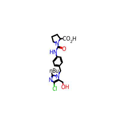 CCCCc1nc(Cl)c(CO)n1Cc1ccc(NC(=O)N2CCCC2C(=O)O)cc1